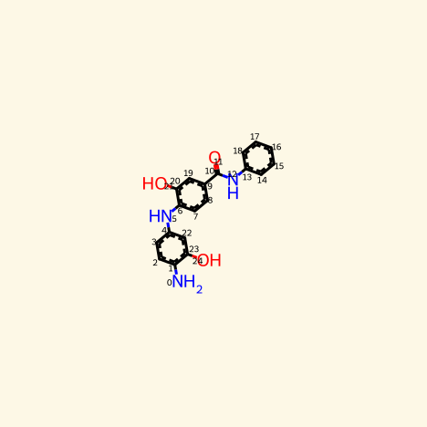 Nc1ccc(Nc2ccc(C(=O)Nc3ccccc3)cc2O)cc1O